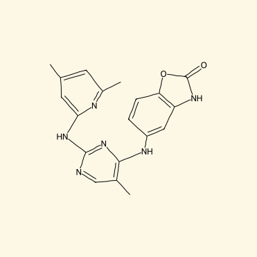 Cc1cc(C)nc(Nc2ncc(C)c(Nc3ccc4oc(=O)[nH]c4c3)n2)c1